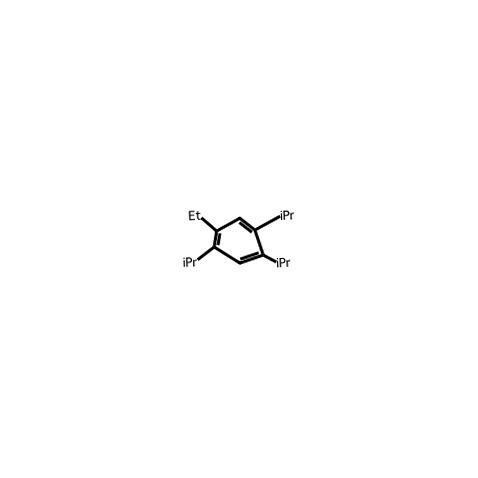 CCc1cc(C(C)C)c(C(C)C)cc1C(C)C